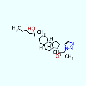 CCCC[C@@](C)(O)C[C@@H]1CC[C@@H]2[C@H](CC[C@]3(C)[C@@H](C(=O)[C@@H](C)n4ccnn4)CC[C@@H]23)C1